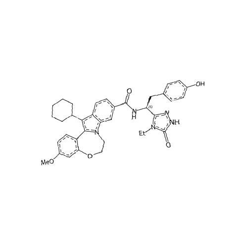 CCn1c([C@H](Cc2ccc(O)cc2)NC(=O)c2ccc3c(C4CCCCC4)c4n(c3c2)CCOc2cc(OC)ccc2-4)n[nH]c1=O